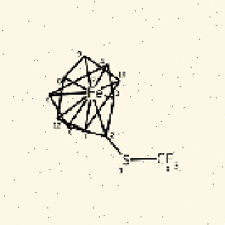 FC(F)(F)S[C]12[CH]3[CH]4[CH]5[CH]1[Fe]45321678[CH]2[CH]1[CH]6[CH]7[CH]28